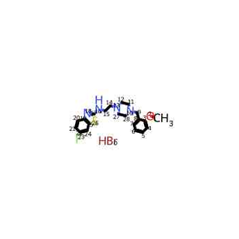 Br.COc1ccccc1CN1CCN(CCNc2nc3ccc(F)cc3s2)CC1